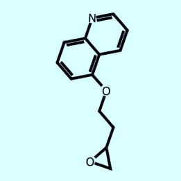 c1cc(OCCC2CO2)c2cccnc2c1